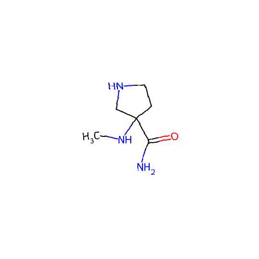 CNC1(C(N)=O)CCNC1